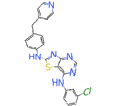 Clc1cccc(Nc2ncnc3nc(Nc4ccc(Cc5ccncc5)cc4)sc23)c1